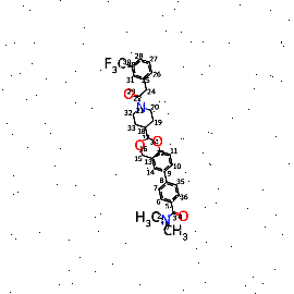 CN(C)C(=O)c1ccc(-c2ccc3c(c2)COC(C2CCN(C(=O)Cc4cccc(C(F)(F)F)c4)CC2)O3)cc1